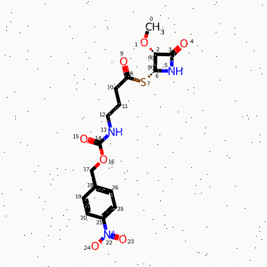 CO[C@@H]1C(=O)N[C@@H]1SC(=O)CCCNC(=O)OCc1ccc([N+](=O)[O-])cc1